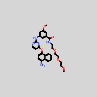 COCCOCCOCCNC(=O)c1cc(Nc2nccc(Oc3ccc(N)c4ccccc34)n2)cc(OC)c1